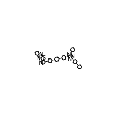 c1ccc(-c2ccc(-c3nc(-c4ccccc4)nc(-c4ccc(-c5ccc(-c6ccc(-c7ccnc8c7sc7nc9ccccc9nc78)cc6)cc5)cc4)n3)cc2)cc1